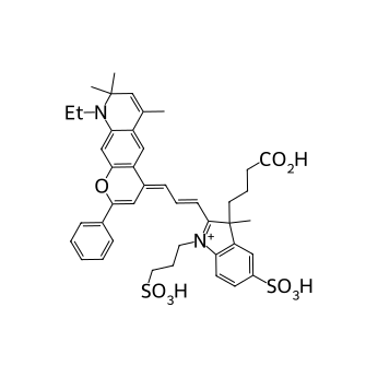 CCN1c2cc3c(cc2C(C)=CC1(C)C)/C(=C/C=C/C1=[N+](CCCS(=O)(=O)O)c2ccc(S(=O)(=O)O)cc2C1(C)CCCC(=O)O)C=C(c1ccccc1)O3